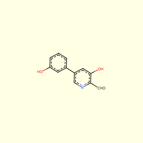 O=Cc1ncc(-c2cccc(O)c2)cc1O